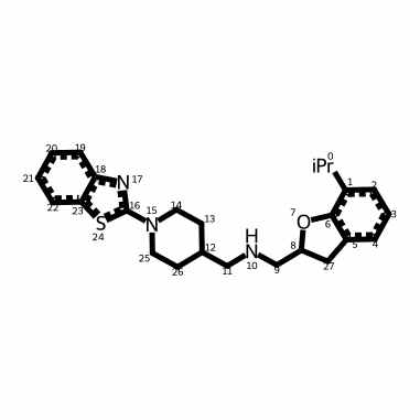 CC(C)c1cccc2c1OC(CNCC1CCN(c3nc4ccccc4s3)CC1)C2